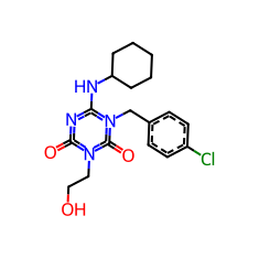 O=c1nc(NC2CCCCC2)n(Cc2ccc(Cl)cc2)c(=O)n1CCO